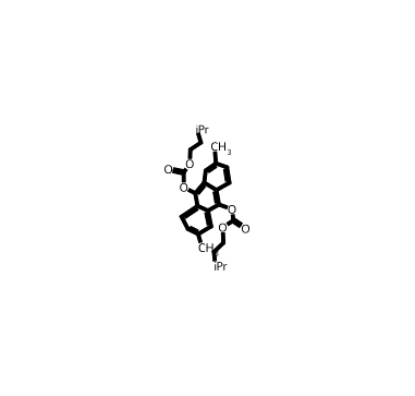 Cc1ccc2c(OC(=O)OCCC(C)C)c3cc(C)ccc3c(OC(=O)OCCC(C)C)c2c1